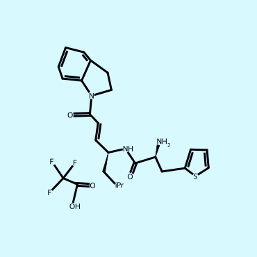 CC(C)C[C@@H](/C=C/C(=O)N1CCc2ccccc21)NC(=O)[C@@H](N)Cc1cccs1.O=C(O)C(F)(F)F